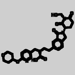 O=C(O)N(CCc1ccc2c(c1)C(=O)N([C@H]1CCC(=O)N(CO)C1=O)C2)Cc1ccc(OC2CCOCC2)nc1